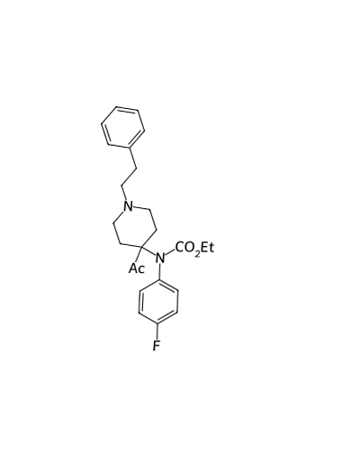 CCOC(=O)N(c1ccc(F)cc1)C1(C(C)=O)CCN(CCc2ccccc2)CC1